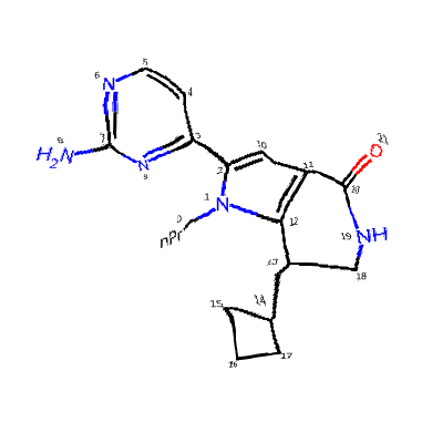 CCCn1c(-c2ccnc(N)n2)cc2c1C(C1CCC1)CNC2=O